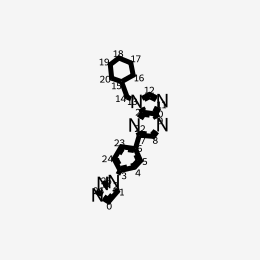 c1cn(-c2ccc(-c3cnc4ncn(CC5CCCCC5)c4n3)cc2)nn1